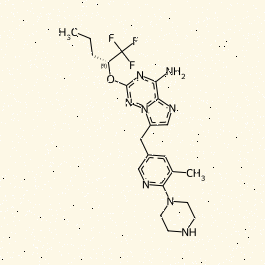 CCC[C@@H](Oc1nc(N)c2ncc(Cc3cnc(N4CCNCC4)c(C)c3)n2n1)C(F)(F)F